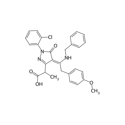 COc1ccc(CC(NCc2ccccc2)=C2C(=O)N(c3ccccc3Cl)N=C2C(C)C(=O)O)cc1